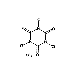 C.O=c1n(Cl)c(=O)n(Cl)c(=O)n1Cl